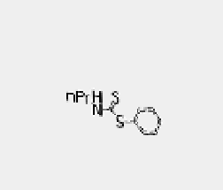 CCCNC(=S)Sc1ccccc1